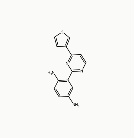 Nc1ccc(N)c(-c2nccc(-c3ccsc3)n2)c1